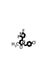 Cc1cc(-c2ccc(F)nc2F)nn(Cc2ccc(Cl)cc2)c1=O